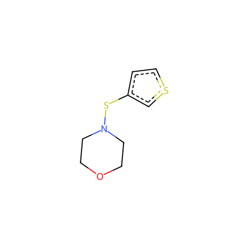 c1cc(SN2CCOCC2)cs1